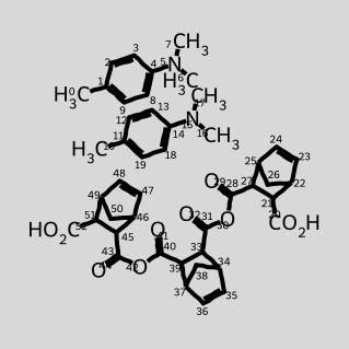 Cc1ccc(N(C)C)cc1.Cc1ccc(N(C)C)cc1.O=C(O)C1C2C=CC(C2)C1C(=O)OC(=O)C1C2C=CC(C2)C1C(=O)OC(=O)C1C2C=CC(C2)C1C(=O)O